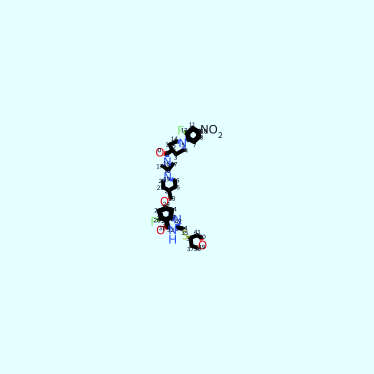 O=C(C1CCN(c2ccc([N+](=O)[O-])cc2F)CC1)N1CC(N2CCC(COc3cc(F)c4c(=O)[nH]c(CSC5CCOCC5)nc4c3)CC2)C1